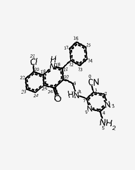 N#Cc1cnc(N)nc1NCc1c(-c2ccccc2)[nH]c2c(Cl)cccc2c1=O